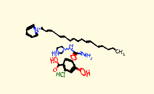 CCCCCCCCCCCCCCCC[n+]1ccccc1.Cl.NC(=O)NN1CCNC1.O=C(O)c1ccc(O)cc1